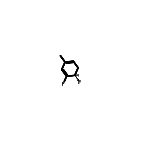 CC1=CC[C@H](F)C(F)=C1